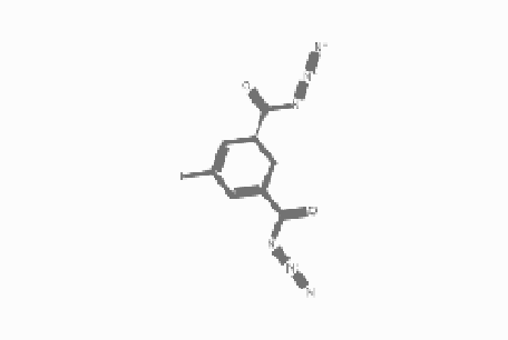 [N-]=[N+]=NC(=O)C1=CC(I)=C[C@@H](C(=O)N=[N+]=[N-])C1